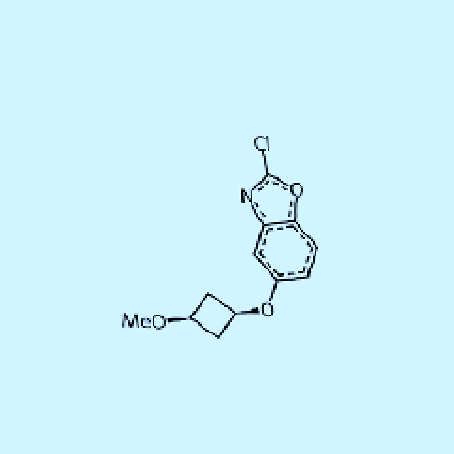 CO[C@H]1C[C@@H](Oc2ccc3oc(Cl)nc3c2)C1